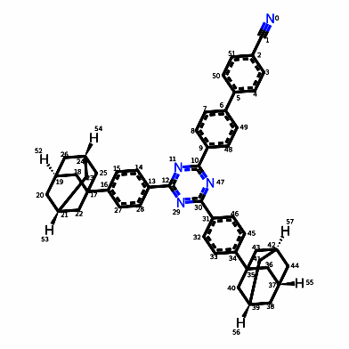 N#Cc1ccc(-c2ccc(-c3nc(-c4ccc(C56C[C@H]7C[C@@H](C5)C[C@@H](C6)C7)cc4)nc(-c4ccc(C56C[C@H]7C[C@H](C5)C[C@@H](C6)C7)cc4)n3)cc2)cc1